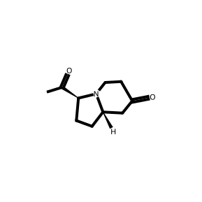 CC(=O)[C@@H]1CC[C@H]2CC(=O)CCN21